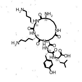 CC(C)C[C@H](NC(=O)[C@H](Cc1ccc(O)cc1)NC(=O)[C@@H]1CC(=O)NCCC[C@H](N)C(=O)N[C@@H](CCCCN)C(=O)N[C@@H](CCCCN)C(=O)N1)C(=O)O